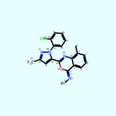 Cc1cccc2/c(=N/C(C)C)oc(-c3cc(C(F)(F)F)nn3-c3ccccc3Cl)nc12